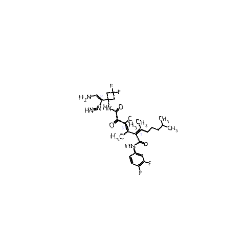 C/C(CCCC(C)C)=C(C(=O)Nc1ccc(F)c(F)c1)\C(C)=C(/C)C(=O)C(=O)NC1(/C(=C/N)N=N)CC(F)(F)C1